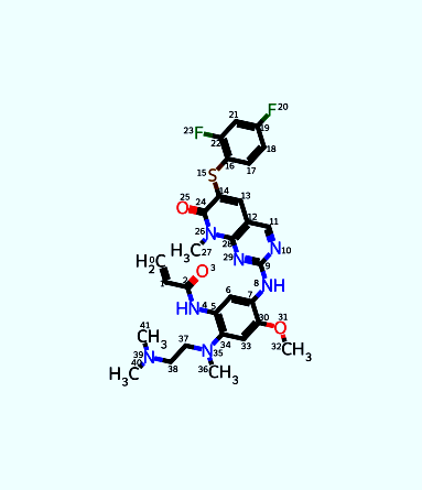 C=CC(=O)Nc1cc(Nc2ncc3cc(Sc4ccc(F)cc4F)c(=O)n(C)c3n2)c(OC)cc1N(C)CCN(C)C